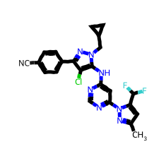 Cc1cc(C(F)F)n(-c2cc(Nc3c(Cl)c(-c4ccc(C#N)cc4)nn3CC3CC3)ncn2)n1